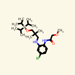 COCC(=O)Nc1ccc(Br)cc1NCC(C)(C)CO[Si](C(C)C)(C(C)C)C(C)C